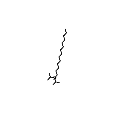 CCCCCCCCCCCCCC[Si](C(C)C)C(C)C